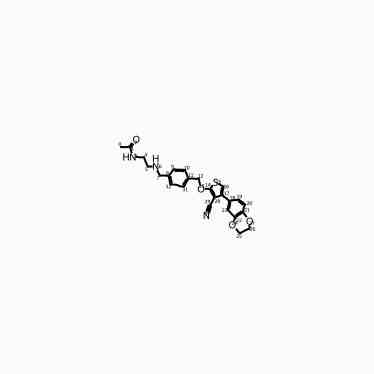 CC(=O)NCCNCc1ccc(COc2scc(-c3ccc4c(c3)OCCO4)c2C#N)cc1